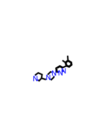 Cc1cccc(-c2ccc(N3CCN(CC4CCCN(C)C4)CC3)nn2)c1C